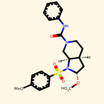 COc1ccc(S(=O)(=O)N2[C@@H](OC(=O)O)C[C@@H]3CCN(C(=O)Nc4ccccc4)C[C@@H]32)cc1